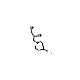 [CH2]C1CCN(CC(O)CO)CC1